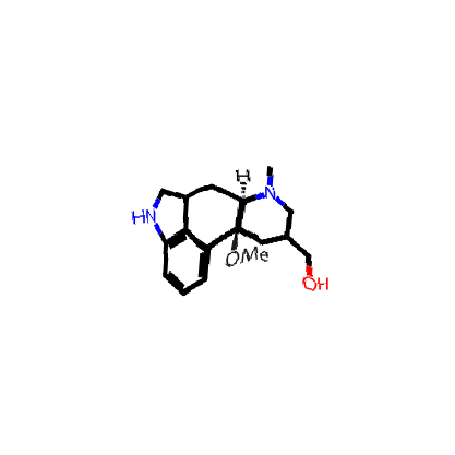 CO[C@]12CC(CO)CN(C)[C@@H]1CC1CNc3cccc2c31